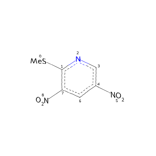 CSc1ncc([N+](=O)[O-])cc1[N+](=O)[O-]